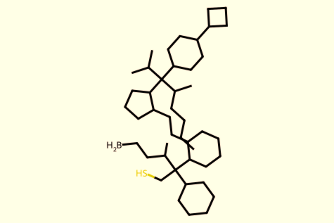 BCCC(C)C(CS)(C1CCCCC1)C1CCCCC1CCC1CCCC1C(C(C)C)(C(C)CCCC)C1CCC(C2CCC2)CC1